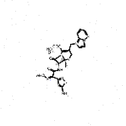 CO/N=C(\C(=O)N[C@@H]1C(=O)N2C(C(=O)[O-])=C(C[n+]3ccn4ncccc43)CS[C@H]12)c1nsc(N)n1.O=[N+]([O-])O